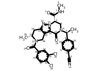 CNC(=O)[C@@H]1CN([C@@H](C)c2ccc(C#N)cc2)C(=O)c2c3c(nn21)C[C@@H](C)N(C(=O)c1ccc(Cl)c(Cl)c1)C3